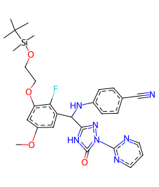 COc1cc(OCCO[Si](C)(C)C(C)(C)C)c(F)c(C(Nc2ccc(C#N)cc2)c2nn(-c3ncccn3)c(=O)[nH]2)c1